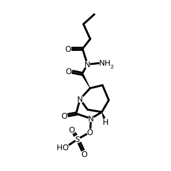 CCCC(=O)N(N)C(=O)[C@H]1CC[C@H]2CN1C(=O)N2OS(=O)(=O)O